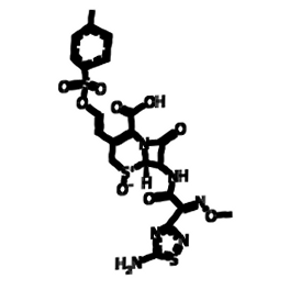 CON=C(C(=O)NC1C(=O)N2C(C(=O)O)=C(C=COS(=O)(=O)c3ccc(C)cc3)C[S+]([O-])[C@@H]12)c1nsc(N)n1